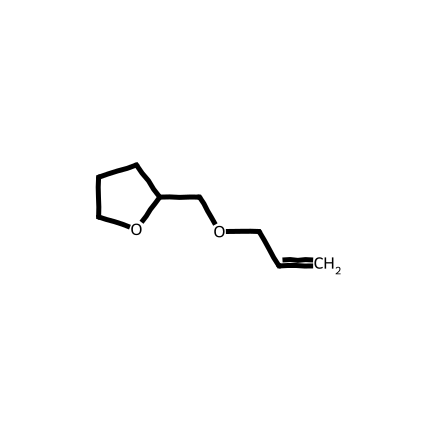 C=CCOCC1CCCO1